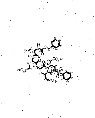 C=N/C(=C\NC)C[C@H](NC(=O)[C@H](CCC(=O)O)NC(=O)[C@H](CC(C)C)NC(=O)OCc1ccccc1)C(=O)N[C@H](/C=C/S(=O)(=O)c1ccccc1)CC(=O)O